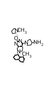 Cc1cccc2cccc(N3CCc4c(nc(OC[C@@H]5CCCN5C)nc4N4CCC(N)CC4)C3)c12